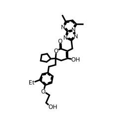 CCc1cc(CCC2(C3CCCC3)CC(O)=C(Cc3nc4nc(C)cc(C)n4n3)C(=O)O2)ccc1OCCO